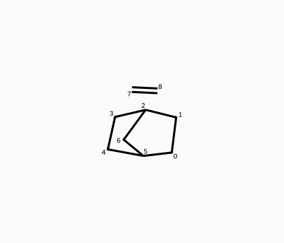 C1CC2CCC1C2.C=C